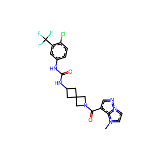 Cn1ccn2ncc(C(=O)N3CC4(CC(NC(=O)Nc5ccc(Cl)c(C(F)(F)F)c5)C4)C3)c12